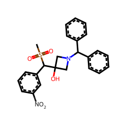 CS(=O)(=O)C(c1cccc([N+](=O)[O-])c1)C1(O)CN(C(c2ccccc2)c2ccccc2)C1